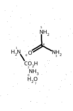 N.NC(=O)O.NC(N)=O.O